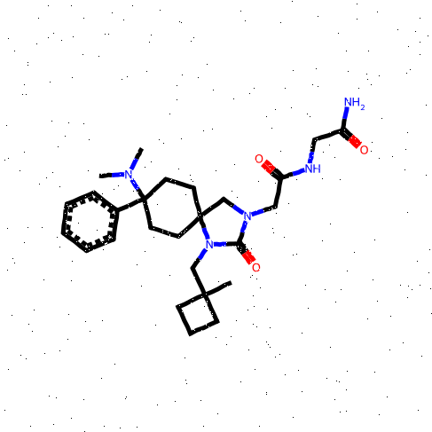 CN(C)C1(c2ccccc2)CCC2(CC1)CN(CC(=O)NCC(N)=O)C(=O)N2CC1(C)CCC1